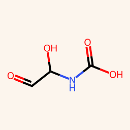 O=CC(O)NC(=O)O